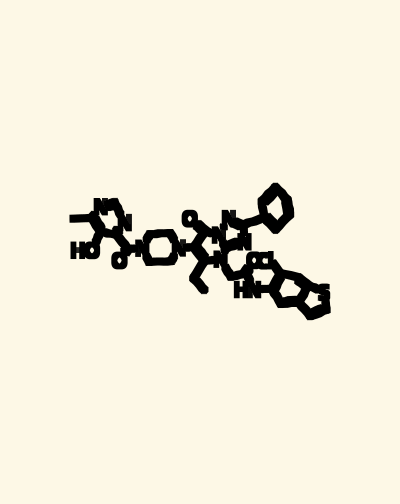 CCc1c(N2CCN(C(=O)c3ncnc(C)c3O)CC2)c(=O)n2nc(-c3ccccc3)nc2n1CC(=O)Nc1cc2ccsc2cc1Cl